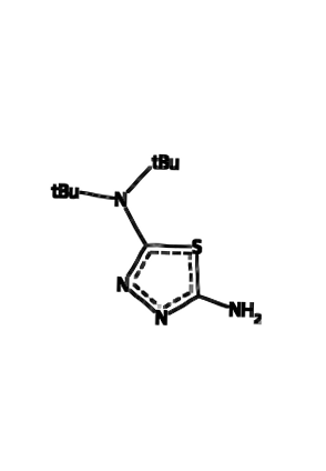 CC(C)(C)N(c1nnc(N)s1)C(C)(C)C